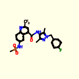 Cc1nn(Cc2ccc(F)cc2)c(C)c1NC(=O)c1cc(C(F)(F)F)nc2ccc(NS(C)(=O)=O)cc12